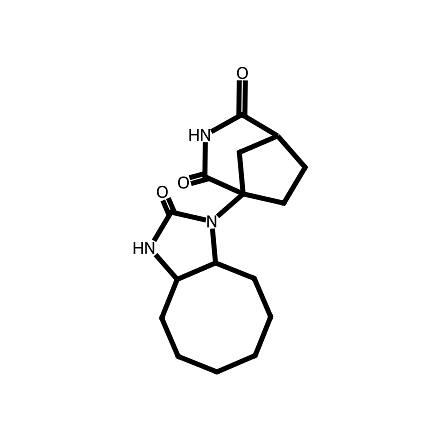 O=C1NC(=O)C2(N3C(=O)NC4CCCCCCC43)CCC1C2